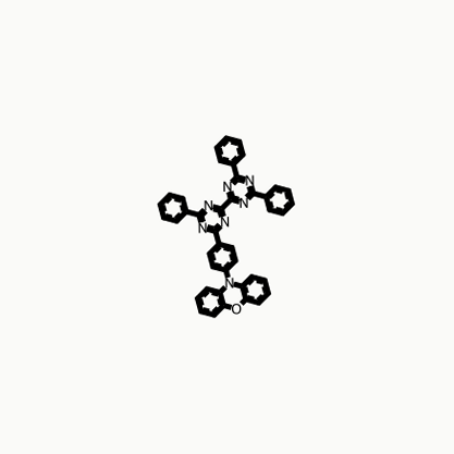 c1ccc(-c2nc(-c3ccccc3)nc(-c3nc(-c4ccccc4)nc(-c4ccc(N5c6ccccc6Oc6ccccc65)cc4)n3)n2)cc1